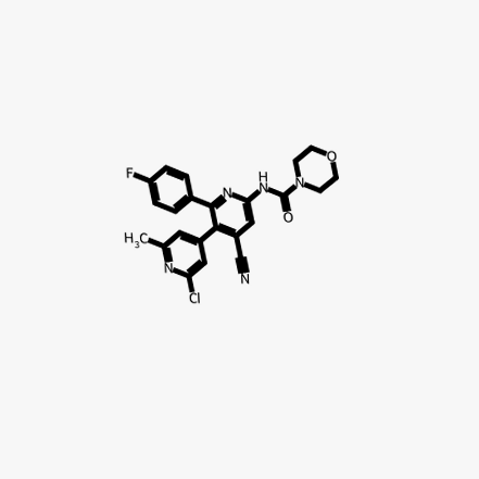 Cc1cc(-c2c(C#N)cc(NC(=O)N3CCOCC3)nc2-c2ccc(F)cc2)cc(Cl)n1